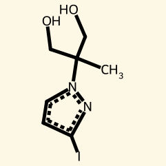 CC(CO)(CO)n1ccc(I)n1